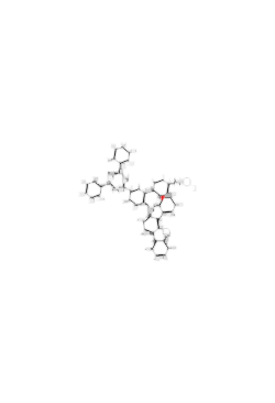 O=[N+]([O-])c1ccc(-c2cc(-c3nc(-c4ccccc4)nc(-c4ccccc4)n3)ccc2-n2c3ccccc3c3c4oc5ccccc5c4ccc32)cc1